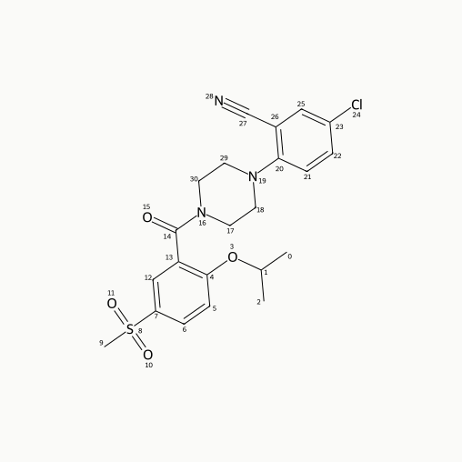 CC(C)Oc1ccc(S(C)(=O)=O)cc1C(=O)N1CCN(c2ccc(Cl)cc2C#N)CC1